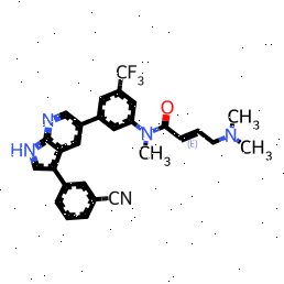 CN(C)C/C=C/C(=O)N(C)c1cc(-c2cnc3[nH]cc(-c4cccc(C#N)c4)c3c2)cc(C(F)(F)F)c1